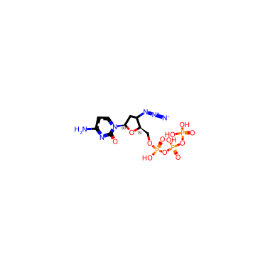 [N-]=[N+]=NC1C[C@H](n2ccc(N)nc2=O)O[C@@H]1COP(=O)(O)OP(=O)(O)OP(=O)(O)O